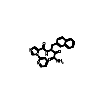 NC(=O)C(=O)C(Cc1ccc2ccccc2c1)NC(=O)c1cncn1-c1ccccn1